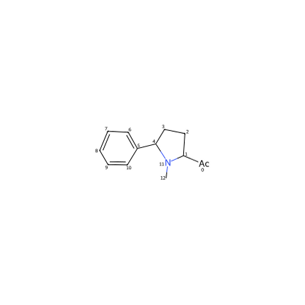 CC(=O)C1CCC(c2ccccc2)N1C